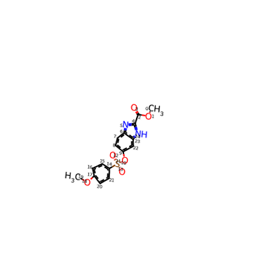 COC(=O)c1nc2ccc(OS(=O)(=O)c3ccc(OC)cc3)cc2[nH]1